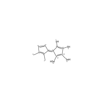 CC1=C(C)C(=C2C(S)=C(S)C([SeH])=C2[SeH])C=C1